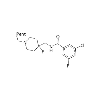 CCCC(C)CN1CCC(F)(CNC(=O)c2cc(F)cc(Cl)c2)CC1